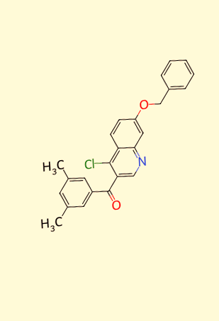 Cc1cc(C)cc(C(=O)c2cnc3cc(OCc4ccccc4)ccc3c2Cl)c1